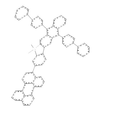 C[Si]1(C)c2cc(-c3ccc4c5cccc6cccc(c7cccc3c74)c65)ccc2-c2cc3c(-c4ccc(-c5ccccc5)cc4)c4ccccc4c(-c4ccc(-c5ccccc5)cc4)c3cc21